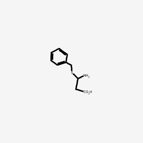 NC(CC(=O)O)SCc1ccccc1